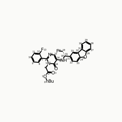 CCCCOC(=O)Cn1c(-c2ccccc2F)ncc(N[C@H](CF)c2ccc3oc4ccccc4c3c2)c1=O